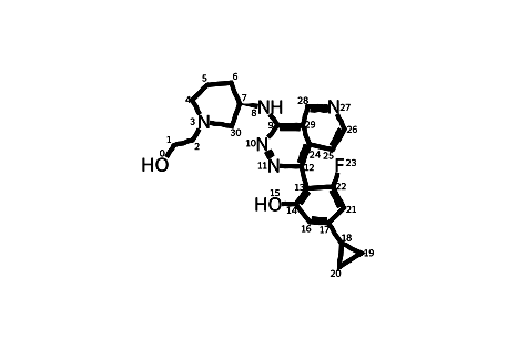 OCCN1CCC[C@@H](Nc2nnc(-c3c(O)cc(C4CC4)cc3F)c3ccncc23)C1